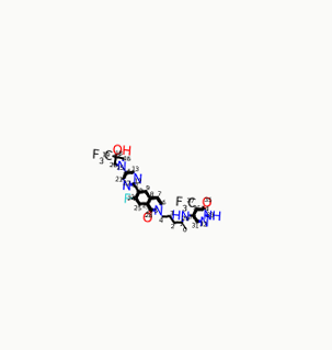 C[C@@H](CCCn1ccc2cc(-c3ncc(N4CC(O)(C(F)(F)F)C4)cn3)c(F)cc2c1=O)Nc1cn[nH]c(=O)c1C(F)(F)F